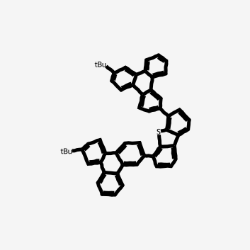 CC(C)(C)c1ccc2c3ccc(-c4cccc5c4sc4c(-c6ccc7c8ccc(C(C)(C)C)cc8c8ccccc8c7c6)cccc45)cc3c3ccccc3c2c1